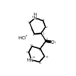 Cl.O=C(C1CCNCC1)C1CCNCC1